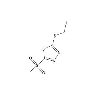 CS(=O)(=O)c1nnc(SCI)s1